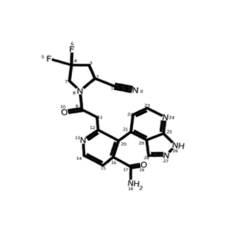 N#CC1CC(F)(F)CN1C(=O)Cc1nccc(C(N)=O)c1-c1ccnc2[nH]ncc12